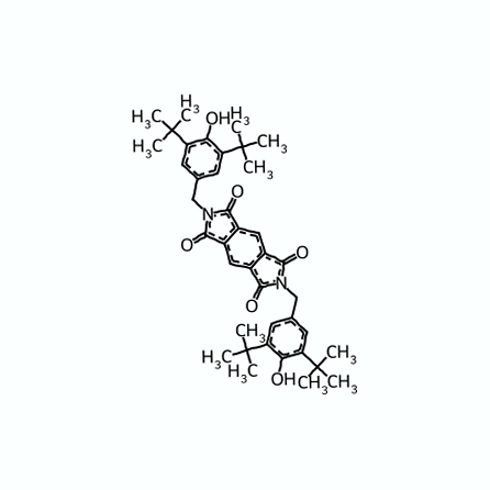 CC(C)(C)c1cc(Cn2c(=O)c3cc4c(=O)n(Cc5cc(C(C)(C)C)c(O)c(C(C)(C)C)c5)c(=O)c4cc3c2=O)cc(C(C)(C)C)c1O